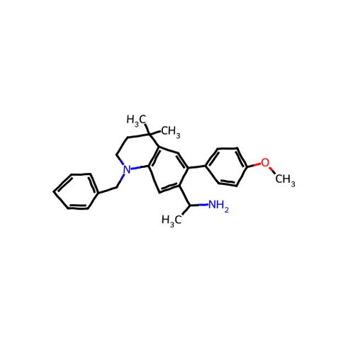 COc1ccc(-c2cc3c(cc2C(C)N)N(Cc2ccccc2)CCC3(C)C)cc1